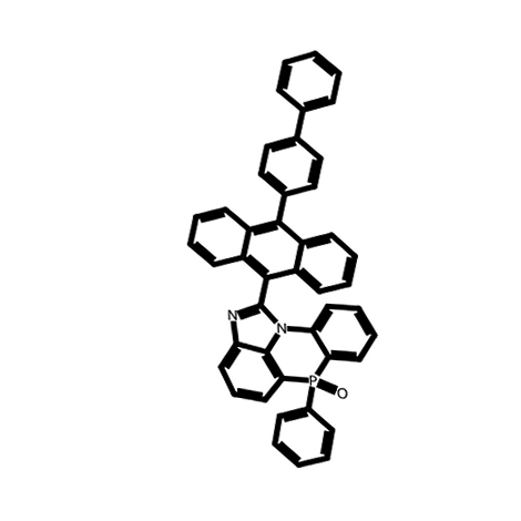 O=P1(c2ccccc2)c2ccccc2-n2c(-c3c4ccccc4c(-c4ccc(-c5ccccc5)cc4)c4ccccc34)nc3cccc1c32